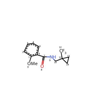 COc1ccccc1C(=O)NCC1(C(F)(F)F)CC1